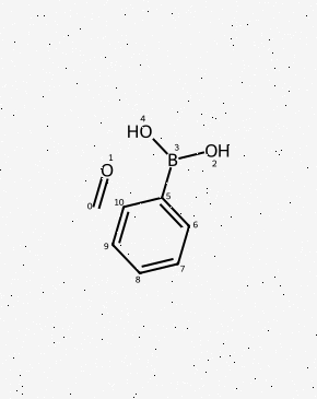 C=O.OB(O)c1ccccc1